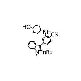 CCCCc1c(-c2ccc(C#N)c(N[C@H]3CC[C@H](O)CC3)c2)c2ccccc2n1C